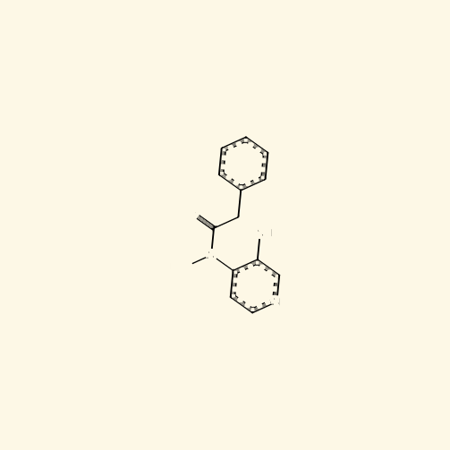 CN(C(=O)Cc1ccccc1)c1ccncc1N